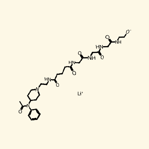 CC(=O)N(c1ccccc1)C1CCN(CCNC(=O)CCCC(=O)NCC(=O)NCC(=O)NCC(=O)NCC[O-])CC1.[Li+]